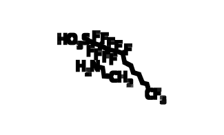 C=CCN.O=S(=O)(O)C(F)(F)C(F)(F)C(F)(F)C(F)(F)C(F)CCCCCCC(F)(F)F